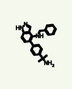 CC(C)(N)c1ccc(-c2ccc3[nH]ncc3c2NCc2ccccc2)cc1